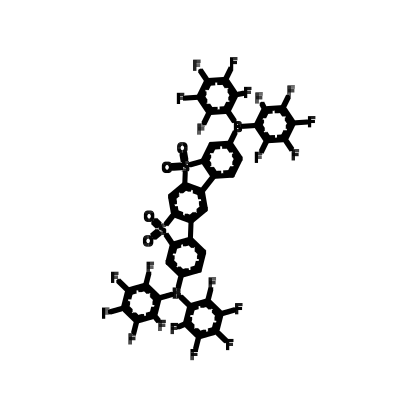 O=S1(=O)c2cc(B(c3c(F)c(F)c(F)c(F)c3F)c3c(F)c(F)c(F)c(F)c3F)ccc2-c2cc3c(cc21)S(=O)(=O)c1cc(B(c2c(F)c(F)c(F)c(F)c2F)c2c(F)c(F)c(F)c(F)c2F)ccc1-3